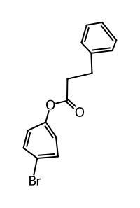 O=C(CCc1ccccc1)Oc1ccc(Br)cc1